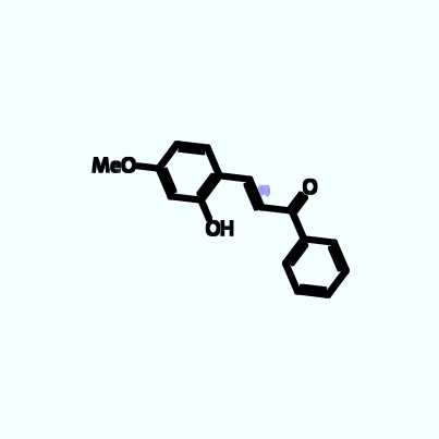 COc1ccc(/C=C/C(=O)c2ccccc2)c(O)c1